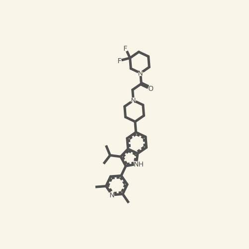 Cc1cc(-c2[nH]c3ccc(C4CCN(CC(=O)N5CCCC(F)(F)C5)CC4)cc3c2C(C)C)cc(C)n1